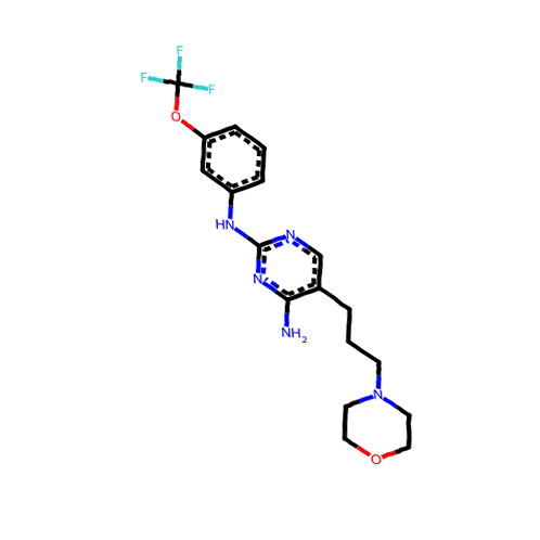 Nc1nc(Nc2cccc(OC(F)(F)F)c2)ncc1CCCN1CCOCC1